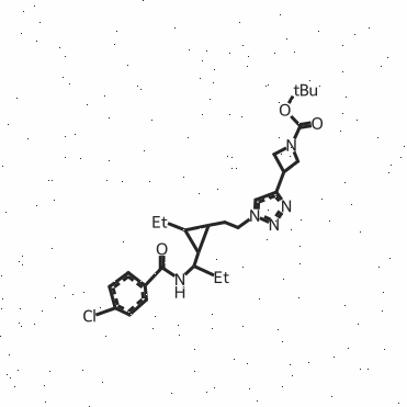 CCC(NC(=O)c1ccc(Cl)cc1)C1C(CC)C1CCn1cc(C2CN(C(=O)OC(C)(C)C)C2)nn1